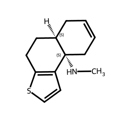 CN[C@@]12CC=CC[C@@H]1CCc1sccc12